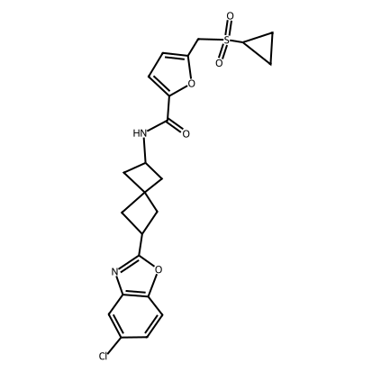 O=C(NC1CC2(C1)CC(c1nc3cc(Cl)ccc3o1)C2)c1ccc(CS(=O)(=O)C2CC2)o1